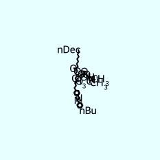 CCCCCCCCCCCCCCCCCC(=O)OC[C@H](COP(=O)(O)OCC[N+](C)(C)C)OC(=O)CCCc1ccc(/N=N/c2ccc(CCCC)cc2)cc1